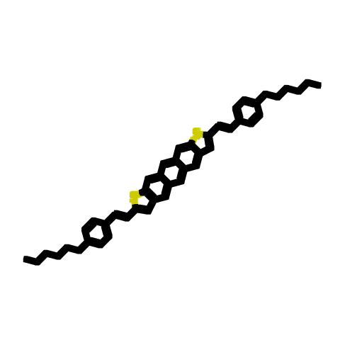 CCCCCCc1ccc(/C=C/c2cc3cc4cc5cc6cc(/C=C/c7ccc(CCCCCC)cc7)sc6cc5cc4cc3s2)cc1